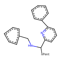 CCCCCC(NCc1ccccc1)c1cccc(-c2ccccc2)n1